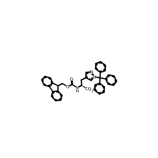 O=C(N[C@@H](Cc1cnn(C(c2ccccc2)(c2ccccc2)c2ccccc2)c1)C(=O)O)OCC1c2ccccc2-c2ccccc21